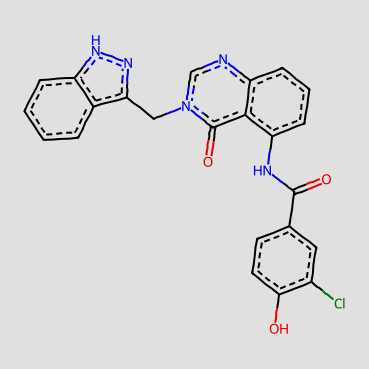 O=C(Nc1cccc2ncn(Cc3n[nH]c4ccccc34)c(=O)c12)c1ccc(O)c(Cl)c1